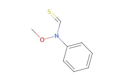 CON(C=S)c1ccccc1